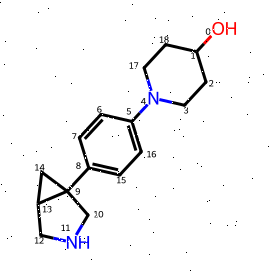 OC1CCN(c2ccc(C34CNCC3C4)cc2)CC1